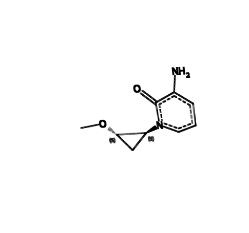 CO[C@H]1C[C@@H]1n1cccc(N)c1=O